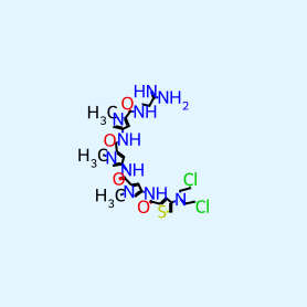 Cn1cc(NC(=O)c2cc(NC(=O)c3cc(NC(=O)c4cc(N(CCCl)CCCl)cs4)cn3C)cn2C)cc1C(=O)NCCC(=N)N